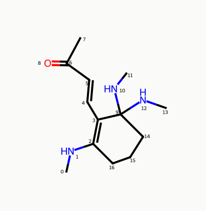 CNC1=C(C=CC(C)=O)C(NC)(NC)CCC1